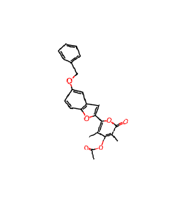 CC(=O)Oc1c(C)c(-c2cc3cc(OCc4ccccc4)ccc3o2)oc(=O)c1C